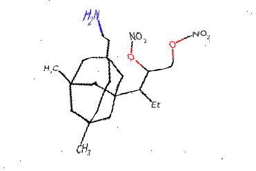 CCC(C(CO[N+](=O)[O-])O[N+](=O)[O-])C12CC3(C)CC(C)(CC(CN)(C3)C1)C2